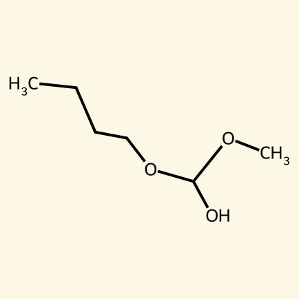 CCCCOC(O)OC